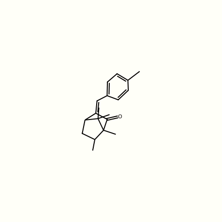 Cc1ccc(/C=C2\C(=O)C3(C)C(C)CC2C3(C)C)cc1